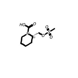 CS(=O)(=O)OC[C@@H]1CCCCN1C(=O)O